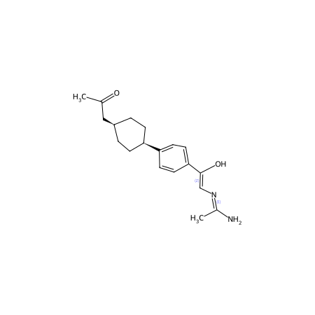 CC(=O)C[C@H]1CC[C@@H](c2ccc(/C(O)=C/N=C(\C)N)cc2)CC1